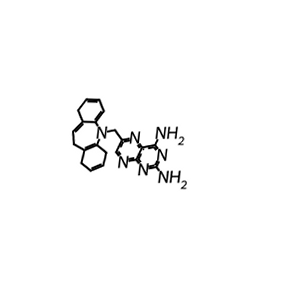 Nc1nc(N)c2nc(CN3C4=CC=CCC4=CCC4=C3CC=CC4)cnc2n1